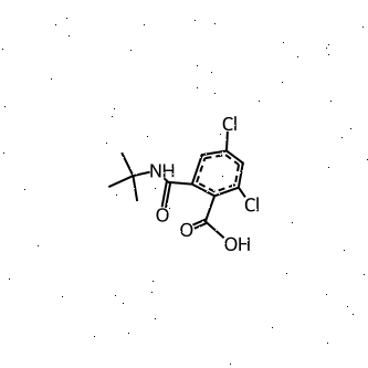 CC(C)(C)NC(=O)c1cc(Cl)cc(Cl)c1C(=O)O